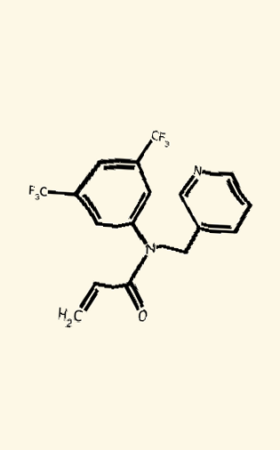 C=CC(=O)N(Cc1cccnc1)c1cc(C(F)(F)F)cc(C(F)(F)F)c1